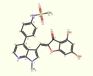 Cn1cc(/C=C2\Oc3cc(O)cc(O)c3C2=O)c2c(-c3ccc(NS(C)(=O)=O)cc3)ccnc21